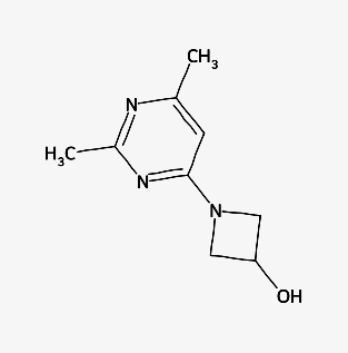 Cc1cc(N2CC(O)C2)nc(C)n1